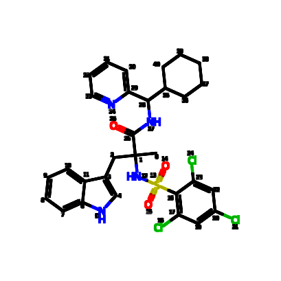 CC(Cc1c[nH]c2ccccc12)(NS(=O)(=O)c1c(Cl)cc(Cl)cc1Cl)C(=O)NC(c1ccccn1)C1CCCCC1